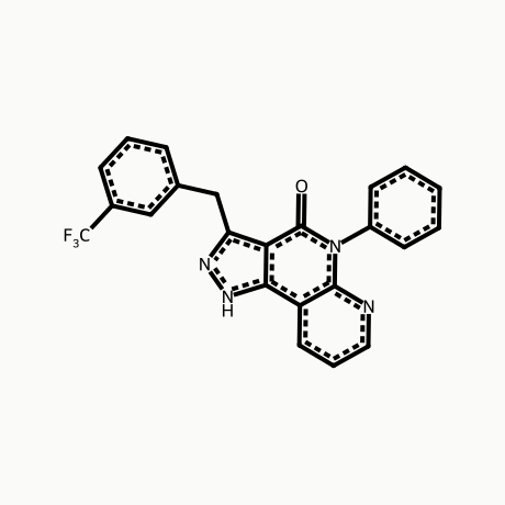 O=c1c2c(Cc3cccc(C(F)(F)F)c3)n[nH]c2c2cccnc2n1-c1ccccc1